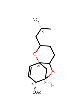 CC(=O)O[C@@H]1C=C[C@]23C[C@H]1OC2CCC(C[C@@H](C)C#N)O3